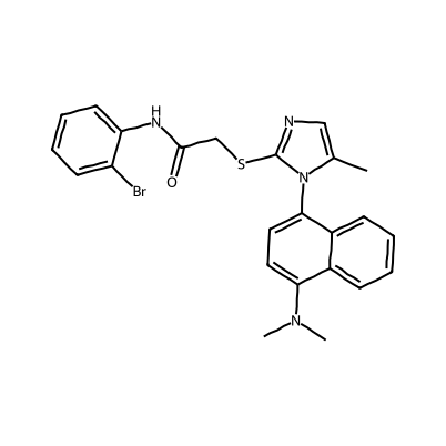 Cc1cnc(SCC(=O)Nc2ccccc2Br)n1-c1ccc(N(C)C)c2ccccc12